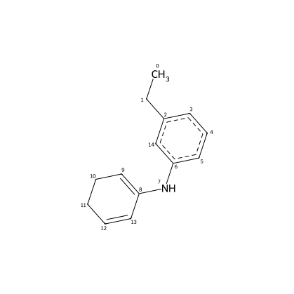 CCc1cccc(NC2=CCCC=C2)c1